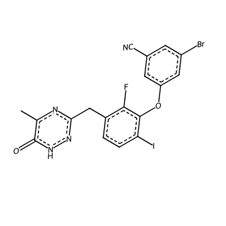 Cc1nc(Cc2ccc(I)c(Oc3cc(Br)cc(C#N)c3)c2F)n[nH]c1=O